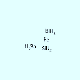 [BaH2].[BiH3].[Fe].[SiH4]